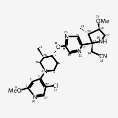 COc1cc(N2CC[C@@H](Oc3cnc([C@@]4(CC#N)NC[C@H](OC)[C@H]4C)cn3)[C@H](C)C2)c(Cl)cn1